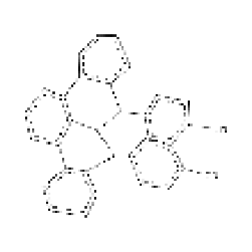 N#Cc1ccc(C2c3ccccc3-c3cccc4c3C2C(c2ccc(C#N)cc2)c2ccccc2-4)cc1